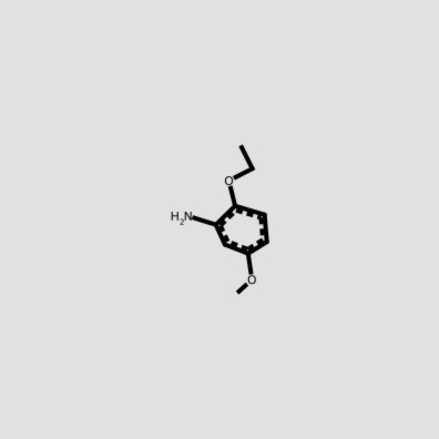 CCOc1ccc(OC)cc1N